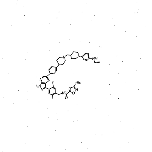 C=CNc1ccc(N2CCC(CN3CCC(c4ccc(-c5cnc6[nH]nc(-c7cc(C)c(CNC(=O)c8nc(C(C)(C)C)no8)cc7F)c6c5)cc4)CC3)CC2)cc1